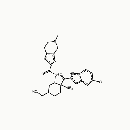 CN1CCc2nc(C(=O)NC3CC(CO)CCC3(N)C(=O)c3cc4cc(Cl)ccc4[nH]3)sc2C1